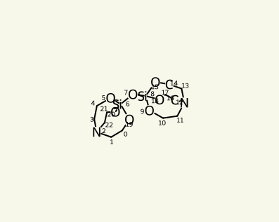 C1CN2CCO[Si](O[Si]34OCCN(CCO3)CCO4)(O1)OCC2